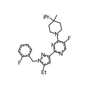 CCc1cc(-c2ncc(F)c(N3CCC(C)(C(C)C)CC3)n2)nn1Cc1ccccc1F